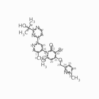 Cc1cnc(-c2ccnc(C(C)(C)O)n2)cc1-n1c(C)cc(OCc2ccn(C)n2)c(Br)c1=O